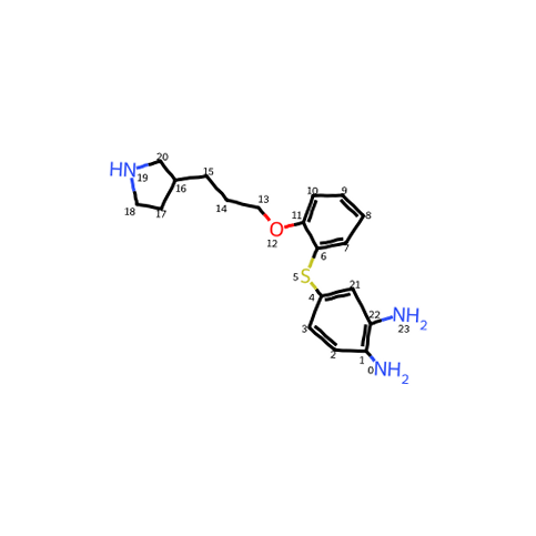 Nc1ccc(Sc2ccccc2OCCCC2CCNC2)cc1N